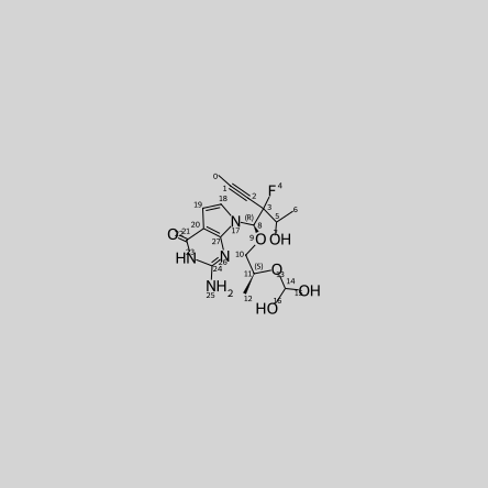 CC#CC(F)(C(C)O)[C@@H](OC[C@H](C)OC(O)O)n1ccc2c(=O)[nH]c(N)nc21